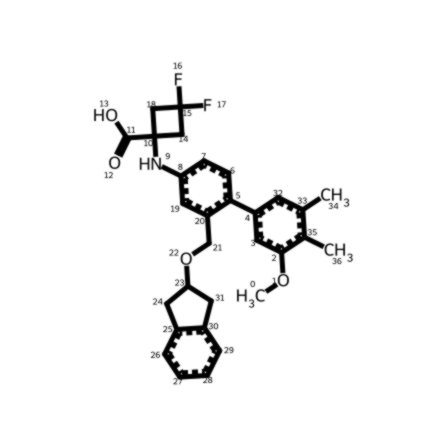 COc1cc(-c2ccc(NC3(C(=O)O)CC(F)(F)C3)cc2COC2Cc3ccccc3C2)cc(C)c1C